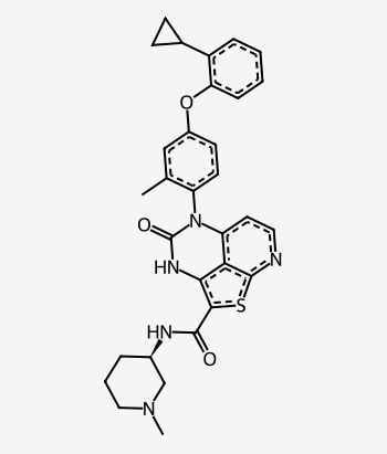 Cc1cc(Oc2ccccc2C2CC2)ccc1N1C(=O)Nc2c(C(=O)N[C@@H]3CCCN(C)C3)sc3nccc1c23